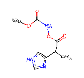 CC(C(=O)ONC(=O)OC(C)(C)C)c1c[nH]cn1